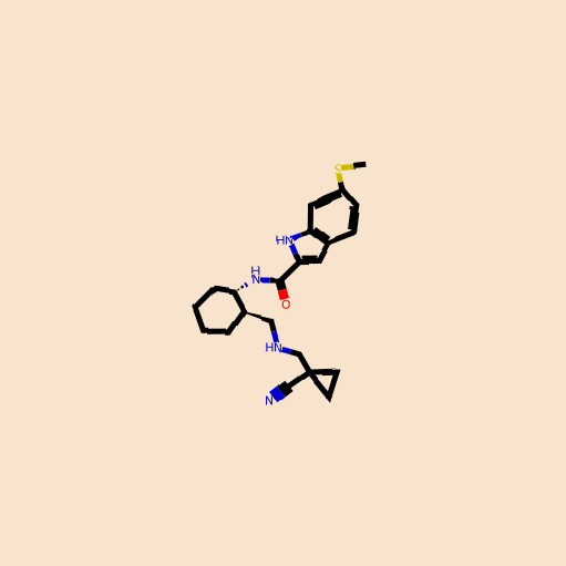 CSc1ccc2cc(C(=O)N[C@H]3CCCC[C@@H]3CNCC3(C#N)CC3)[nH]c2c1